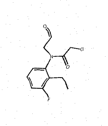 CCc1c(F)cccc1N(CC=O)C(=O)CCl